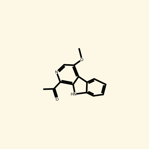 COc1cnc(C(C)=O)c2[nH]c3ccccc3c12